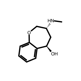 CN[C@H]1COc2ccccc2[C@H](O)C1